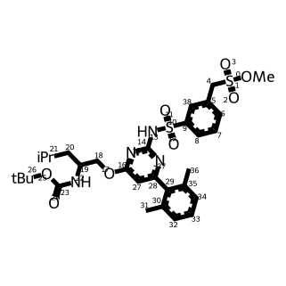 COS(=O)(=O)Cc1cccc(S(=O)(=O)Nc2nc(OCC(CC(C)C)NC(=O)OC(C)(C)C)cc(-c3c(C)cccc3C)n2)c1